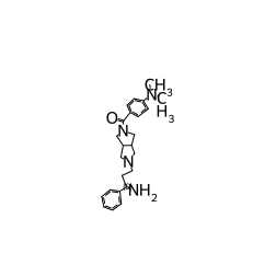 CN(C)c1ccc(C(=O)N2CC3CN(CC[C@H](N)c4ccccc4)CC3C2)cc1